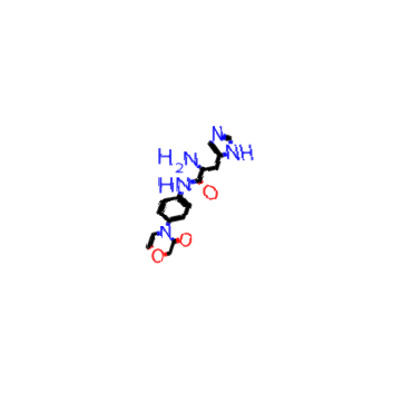 NC(Cc1cnc[nH]1)C(=O)Nc1ccc(N2CCOCC2=O)cc1